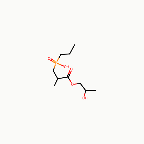 CCCP(=O)(O)CC(C)C(=O)OCC(C)O